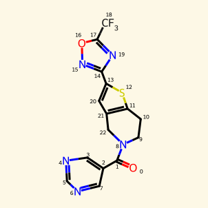 O=C(c1cncnc1)N1CCc2sc(-c3noc(C(F)(F)F)n3)cc2C1